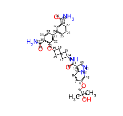 CC(C)(O)COc1ccc2c(C(=O)NC3CC4(C3)CC(Oc3cc(-c5cccc(C(N)=O)c5)ccc3C(N)=O)C4)cnn2c1